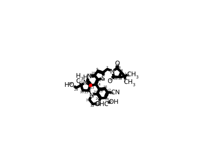 CC1(C)C2C(=O)N(Cc3cc4nccc(-c5cc(C#N)cc6c5N([C@@H]5CN[C@@](C)(CO)C5)CCO6)c4s3)C(=O)C21.O=CO